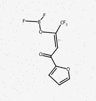 O=C(/C=C(\OB(F)F)C(F)(F)F)c1ccco1